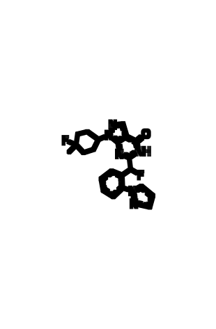 CC1(F)CCC(n2ncc3c(=O)[nH]c(C(F)c4ccccc4-n4cccn4)nc32)CC1